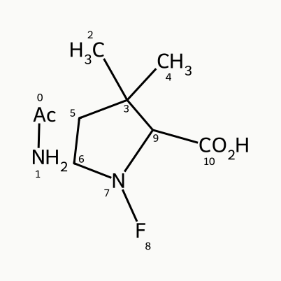 CC(N)=O.CC1(C)CCN(F)C1C(=O)O